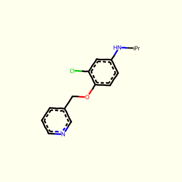 CC(C)Nc1ccc(OCc2cccnc2)c(Cl)c1